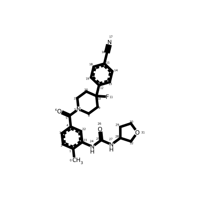 Cc1ccc(C(=O)N2CCC(F)(c3ccc(C#N)cc3)CC2)cc1NC(=O)NC1CCOC1